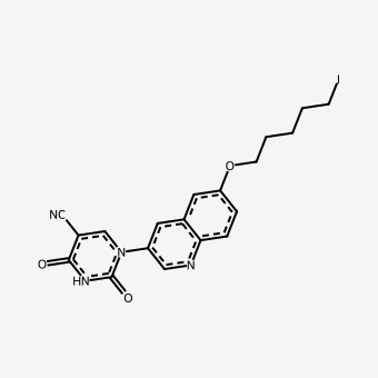 N#Cc1cn(-c2cnc3ccc(OCCCCCI)cc3c2)c(=O)[nH]c1=O